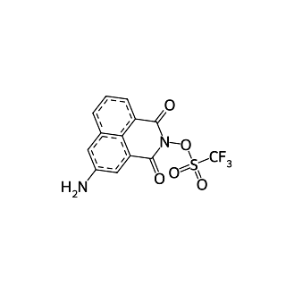 Nc1cc2c3c(cccc3c1)C(=O)N(OS(=O)(=O)C(F)(F)F)C2=O